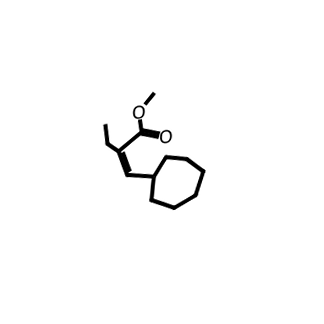 CCC(=CC1CCCCCC1)C(=O)OC